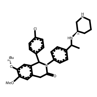 CC[C@@H](C)Oc1cc2c(cc1OC)CC(=O)N(c1ccc(C(C)N[C@@H]3CCCNC3)cc1)C2c1ccc(Cl)cc1